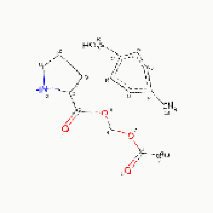 CC(C)(C)C(=O)OCOC(=O)C1CCCN1.Cc1ccc(S(=O)(=O)O)cc1